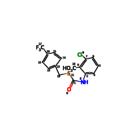 O=C(Nc1cccc(Cl)c1C(=O)O)SCc1ccc(C(F)(F)F)cc1